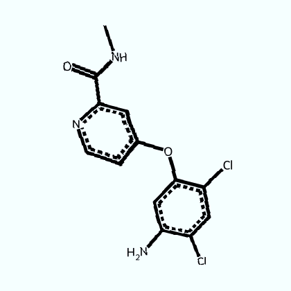 CNC(=O)c1cc(Oc2cc(N)c(Cl)cc2Cl)ccn1